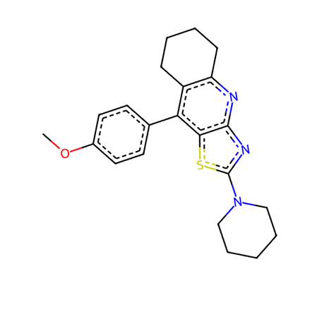 COc1ccc(-c2c3c(nc4nc(N5CCCCC5)sc24)CCCC3)cc1